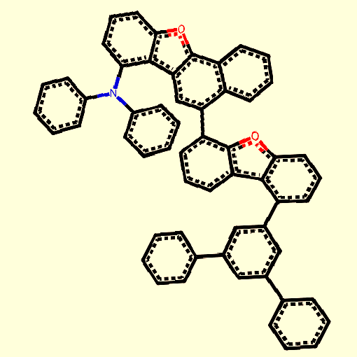 c1ccc(-c2cc(-c3ccccc3)cc(-c3cccc4oc5c(-c6cc7c(oc8cccc(N(c9ccccc9)c9ccccc9)c87)c7ccccc67)cccc5c34)c2)cc1